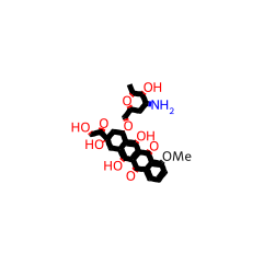 COc1cccc2c1C(=O)c1c(O)c3c(c(O)c1C2=O)C[C@@](O)(C(=O)CO)C[C@@H]3OCC1CC(N)C(O)C(C)O1